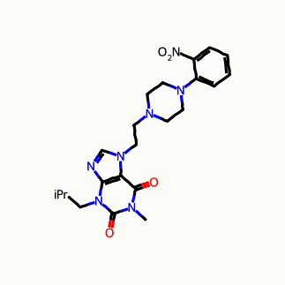 CC(C)Cn1c(=O)n(C)c(=O)c2c1ncn2CCN1CCN(c2ccccc2[N+](=O)[O-])CC1